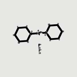 C1CC[N]([Hf+2][N]2CCCCC2)CC1.[F-].[F-]